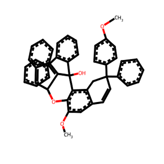 COc1ccc(C2(c3ccccc3)C=Cc3cc(OC)c4c(c3C2)C(O)(c2ccccc2-c2ccccc2)C2=c3ccccc3=CC2O4)cc1